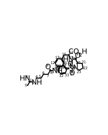 CC(=N)NCCCCC(=O)Nc1ccc(CC(NC(=O)C2CCCN2S(=O)(=O)c2ccccc2)C(=O)O)cc1